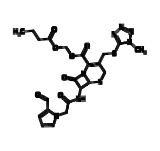 CCCC(=O)OCOC(=O)C1=C(CSc2nnnn2C)CSC2C(NC(=O)Cn3cccc3C=O)C(=O)N12